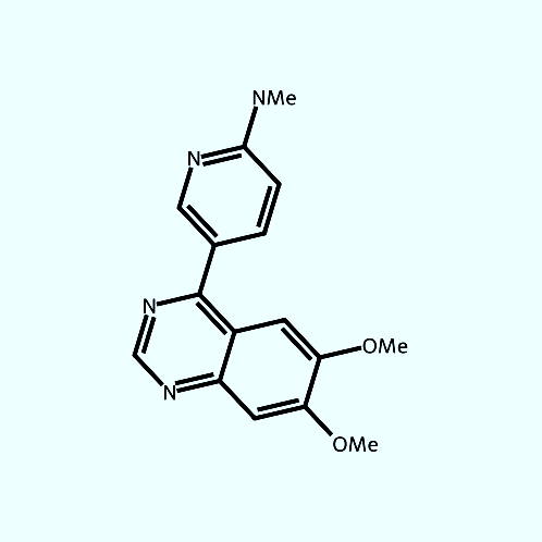 CNc1ccc(-c2ncnc3cc(OC)c(OC)cc23)cn1